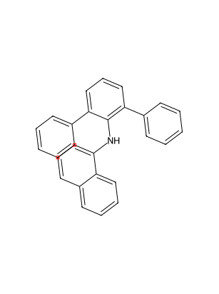 c1ccc(-c2cccc(-c3ccccc3)c2Nc2cccc3ccccc23)cc1